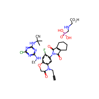 C#CCN1C(=O)COc2cc(F)c(N3C(=O)C4=C(CCCC4)C3=O)cc21.CCNc1nc(Cl)nc(NC(C)(C)C#N)n1.O=C(O)CNCP(=O)(O)O